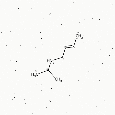 [CH2]/C=C/CNC(C)C